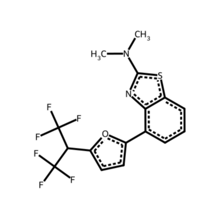 CN(C)c1nc2c(-c3ccc(C(C(F)(F)F)C(F)(F)F)o3)cccc2s1